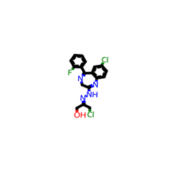 OCC(CCl)=NNC1=Nc2ccc(Cl)cc2C(c2ccccc2F)=NC1